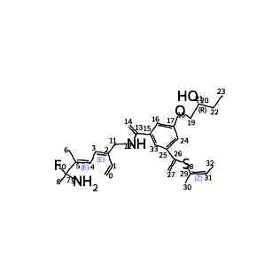 C=C/C(=C\C=C(/C)C(C)(N)F)CNC(=C)c1cc(OC[C@H](O)CC)cc(C(=C)S/C(C)=C\C)c1